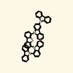 c1cc(-n2c3ccccc3c3cc(-n4c5ccccc5c5ccccc54)ccc32)c2sc3c(-n4c5ccccc5c5cccc(-n6c7ccccc7c7ccccc76)c54)cccc3c2c1